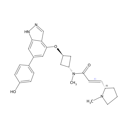 CN1CCC[C@H]1/C=C/C(=O)N(C)[C@H]1C[C@H](Oc2cc(-c3ccc(O)cc3)cc3[nH]ncc23)C1